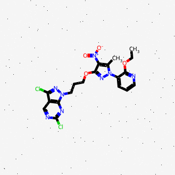 CCOc1ncccc1-n1nc(OCCCn2nc(Cl)c3cnc(Cl)nc32)c([N+](=O)[O-])c1C